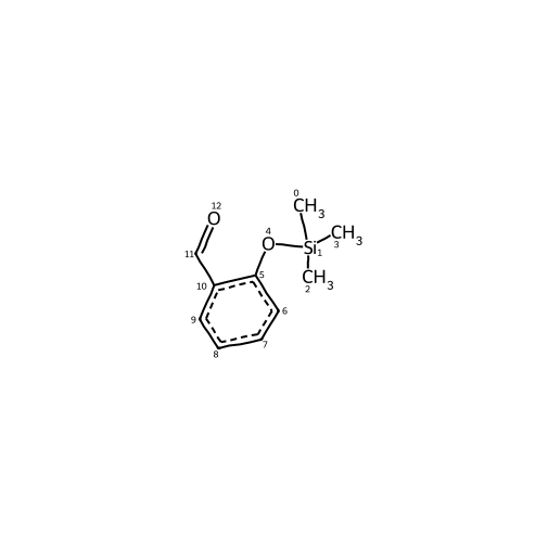 C[Si](C)(C)Oc1ccccc1C=O